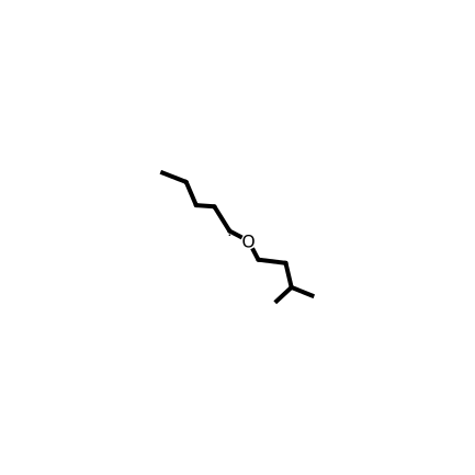 CCCC[CH]OCCC(C)C